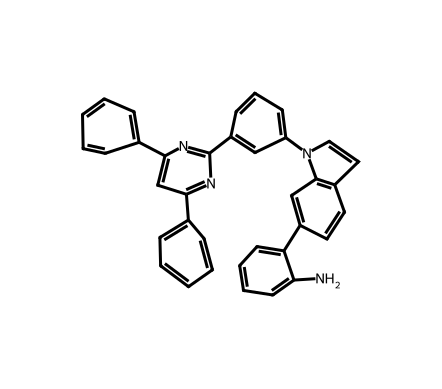 Nc1ccccc1-c1ccc2ccn(-c3cccc(-c4nc(-c5ccccc5)cc(-c5ccccc5)n4)c3)c2c1